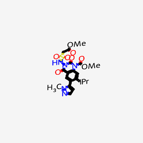 COC(=O)CS(=O)(=O)Nn1c(=O)c2cc(-c3ccnn3C)c(C(C)C)cc2n(C(=O)OC)c1=O